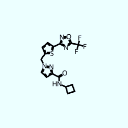 O=C(NC1CCC1)c1ccn(Cc2ccc(-c3noc(C(F)(F)F)n3)s2)n1